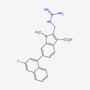 CCOC(=O)c1c(CNC(=N)N)n(C)c2cc(-c3cc(F)cc4ccccc34)ccc12